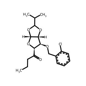 CCCC(=O)[C@H]1O[C@@H]2OC(C(C)C)O[C@@H]2[C@H]1OCc1ccccc1Cl